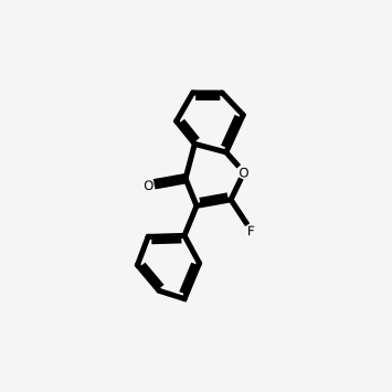 O=c1c(-c2ccccc2)c(F)oc2ccccc12